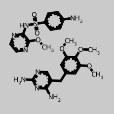 COc1cc(Cc2cnc(N)nc2N)cc(OC)c1OC.COc1nccnc1NS(=O)(=O)c1ccc(N)cc1